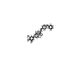 C[C@H]1CN(c2cc(F)c(F)c(F)c2)CCN1C(=O)NCCC1CCN(Cc2ccccc2)CC1